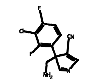 N#CC1=CN=CC1(CN)c1ccc(F)c(Cl)c1F